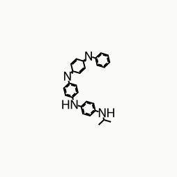 CC(C)Nc1ccc(Nc2ccc(N=C3C=CC(=Nc4ccccc4)C=C3)cc2)cc1